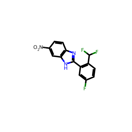 O=[N+]([O-])c1ccc2nc(-c3cc(F)ccc3C(F)F)[nH]c2c1